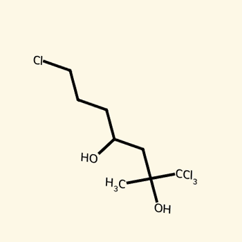 CC(O)(CC(O)CCCCl)C(Cl)(Cl)Cl